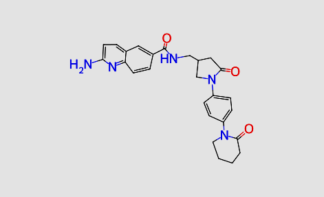 Nc1ccc2cc(C(=O)NCC3CC(=O)N(c4ccc(N5CCCCC5=O)cc4)C3)ccc2n1